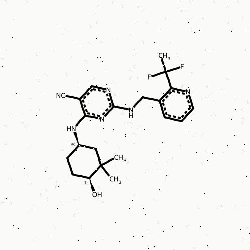 CC(F)(F)c1ncccc1CNc1ncc(C#N)c(N[C@@H]2CC[C@H](O)C(C)(C)C2)n1